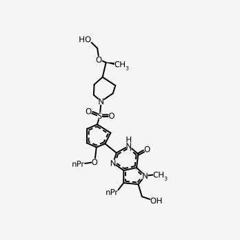 CCCOc1ccc(S(=O)(=O)N2CCC([C@H](C)OCO)CC2)cc1-c1nc2c(CCC)c(CO)n(C)c2c(=O)[nH]1